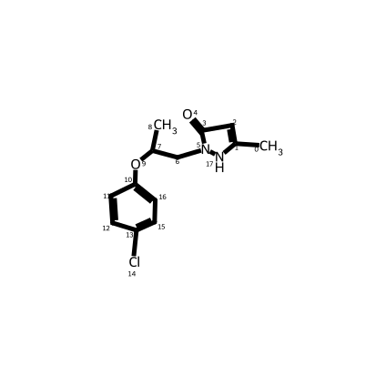 Cc1cc(=O)n(CC(C)Oc2ccc(Cl)cc2)[nH]1